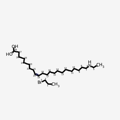 CCCBr.CCNCCCCCCCCCCCC/C=C\CCCCCCCC(O)O